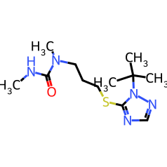 CNC(=O)N(C)CCCSc1ncnn1C(C)(C)C